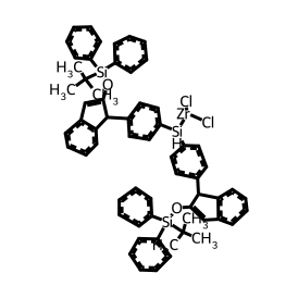 CC(C)(C)[Si](OC1=Cc2ccccc2C1c1ccc([SiH](c2ccc(C3C(O[Si](c4ccccc4)(c4ccccc4)C(C)(C)C)=Cc4ccccc43)cc2)[Zr]([Cl])[Cl])cc1)(c1ccccc1)c1ccccc1